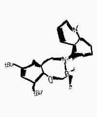 CC(C)(C)c1cc2c(c(C(C)(C)C)c1)O[B-](F)(F)[N+](c1cccc3ncccc13)=C2